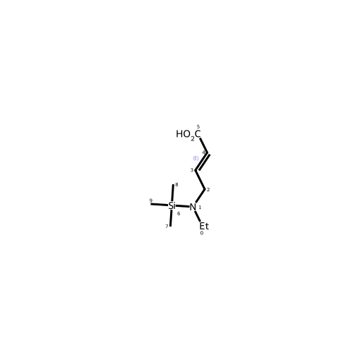 CCN(C/C=C/C(=O)O)[Si](C)(C)C